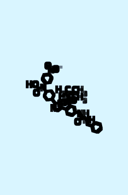 CC(C)(C)NS(=O)(=O)c1cc(NC(=O)NCc2ccccc2)ccc1-c1cnc(C2CCC(N(C(=O)O)c3ccc([N+](=O)[O-])cc3)CC2)s1